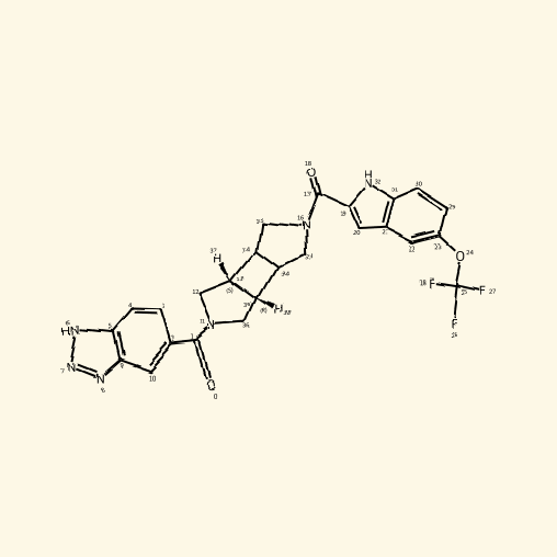 O=C(c1ccc2[nH]nnc2c1)N1C[C@@H]2C3CN(C(=O)c4cc5cc(OC(F)(F)F)ccc5[nH]4)CC3[C@@H]2C1